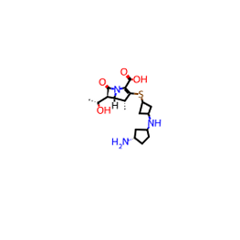 C[C@@H](O)[C@H]1C(=O)N2C(C(=O)O)=C(SC3CC(N[C@H]4CC[C@H](N)C4)C3)[C@H](C)[C@H]12